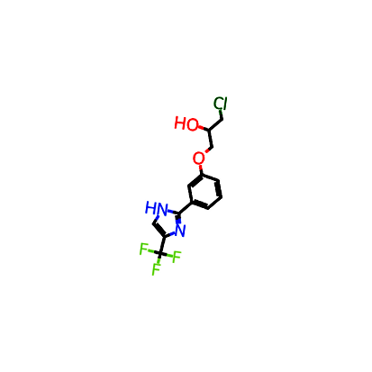 OC(CCl)COc1cccc(-c2nc(C(F)(F)F)c[nH]2)c1